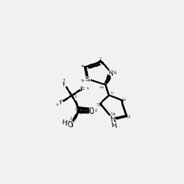 O=C(O)C(F)(F)F.c1csc(C2CCNC2)n1